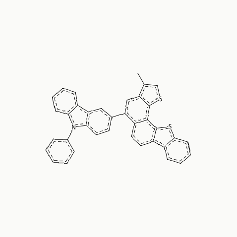 Cc1csc2c1cc(-c1ccc3c(c1)c1ccccc1n3-c1ccccc1)c1ccc3c4ccccc4sc3c12